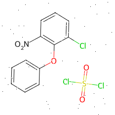 O=S(=O)(Cl)Cl.O=[N+]([O-])c1cccc(Cl)c1Oc1ccccc1